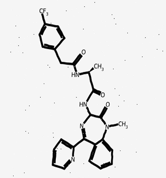 C[C@H](NC(=O)Cc1ccc(C(F)(F)F)cc1)C(=O)NC1N=C(c2ccccn2)c2ccccc2N(C)C1=O